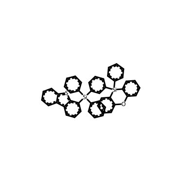 c1ccc([Si]2(c3cccc([Si](c4ccccc4)(c4ccccc4)c4cccc5c4sc4ccccc45)c3)c3ccccc3Oc3ccccc32)cc1